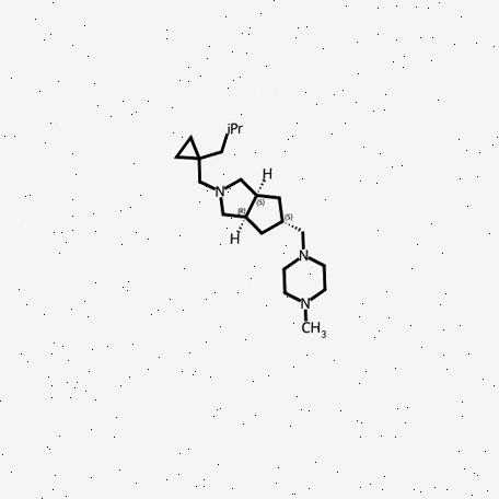 CC(C)CC1(CN2C[C@H]3C[C@H](CN4CCN(C)CC4)C[C@H]3C2)CC1